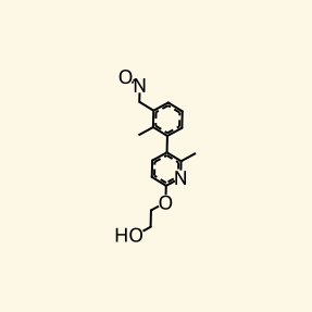 Cc1nc(OCCO)ccc1-c1cccc(CN=O)c1C